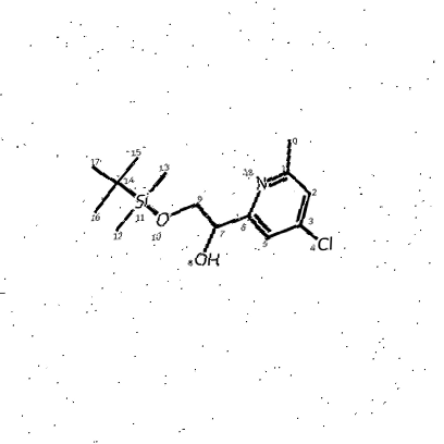 Cc1cc(Cl)cc(C(O)CO[Si](C)(C)C(C)(C)C)n1